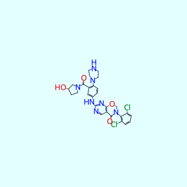 O=C(c1cc(Nc2ncc3c(n2)OCN(c2c(Cl)cccc2Cl)C3=O)ccc1N1CCNCC1)N1CCC(O)C1